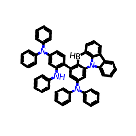 B1c2c(-c3ccc(N(c4ccccc4)c4ccccc4)cc3Nc3ccccc3)cc(N(c3ccccc3)c3ccccc3)cc2-n2c3ccccc3c3cccc1c32